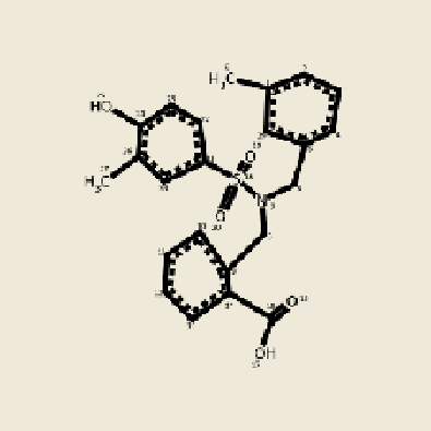 Cc1cccc(CN(Cc2ccccc2C(=O)O)S(=O)(=O)c2ccc(O)c(C)c2)c1